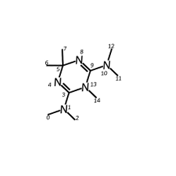 CN(C)C1=NC(C)(C)N=C(N(C)C)N1C